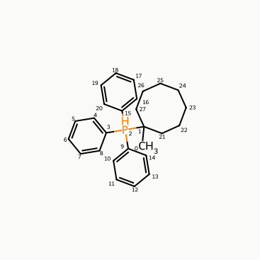 CC1([PH](c2ccccc2)(c2ccccc2)c2ccccc2)CCCCCCC1